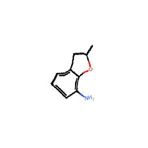 CC1Cc2cccc(N)c2O1